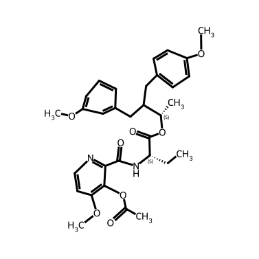 CC[C@H](NC(=O)c1nccc(OC)c1OC(C)=O)C(=O)O[C@@H](C)C(Cc1ccc(OC)cc1)Cc1cccc(OC)c1